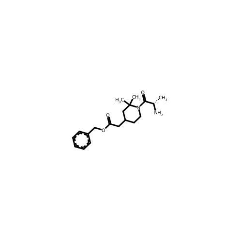 C[C@H](N)C(=O)N1CCC(CC(=O)OCc2ccccc2)CC1(C)C